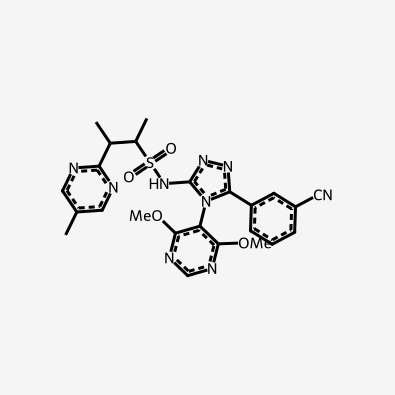 COc1ncnc(OC)c1-n1c(NS(=O)(=O)C(C)C(C)c2ncc(C)cn2)nnc1-c1cccc(C#N)c1